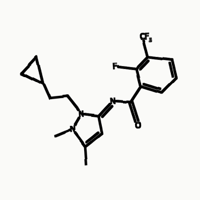 Cc1c/c(=N\C(=O)c2cccc(C(F)(F)F)c2F)n(CCC2CC2)n1C